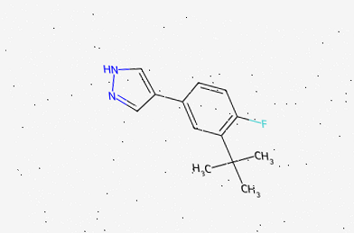 CC(C)(C)c1cc(-c2cn[nH]c2)ccc1F